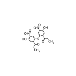 CCC(=O)c1cc(O)c([N+](=O)[O-])cc1Sc1cc([N+](=O)[O-])c(O)cc1C(=O)CC